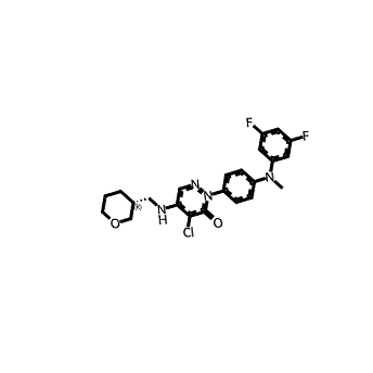 CN(c1ccc(-n2ncc(NC[C@H]3CCCOC3)c(Cl)c2=O)cc1)c1cc(F)cc(F)c1